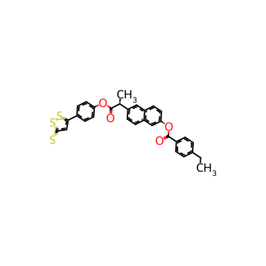 CCc1ccc(C(=O)Oc2ccc3cc([C@H](C)C(=O)Oc4ccc(-c5cc(=S)ss5)cc4)ccc3c2)cc1